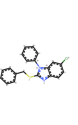 Clc1ccc2nc(SCc3ccccc3)n(-c3ccccc3)c2c1